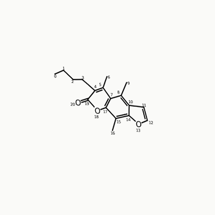 CCCCc1c(C)c2c(C)c3ccoc3c(C)c2oc1=O